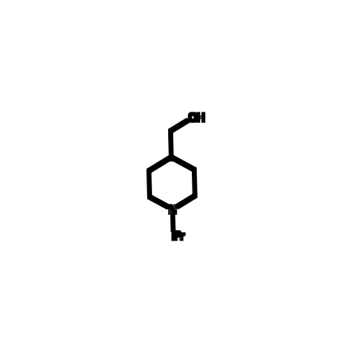 CC(C)N1CC[C](CO)CC1